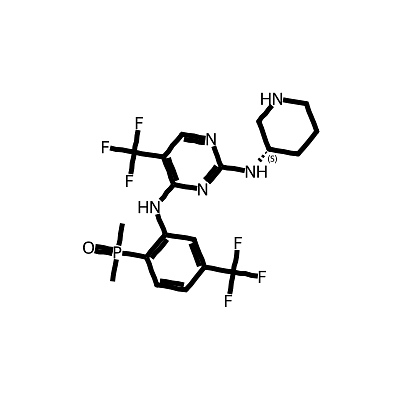 CP(C)(=O)c1ccc(C(F)(F)F)cc1Nc1nc(N[C@H]2CCCNC2)ncc1C(F)(F)F